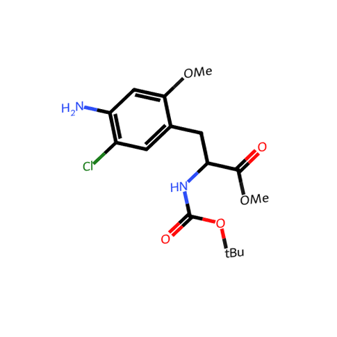 COC(=O)C(Cc1cc(Cl)c(N)cc1OC)NC(=O)OC(C)(C)C